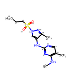 CCNc1nc(Nc2cn(S(=O)(=O)CCOC)nc2C)ncc1C(F)(F)F